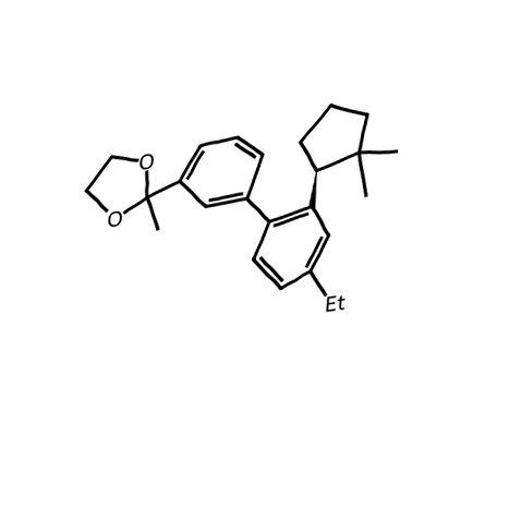 CCc1ccc(-c2cccc(C3(C)OCCO3)c2)c([C@H]2CCCC2(C)C)c1